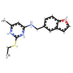 CCCc1cc(NCc2ccc3occc3c2)nc(SCC#N)n1